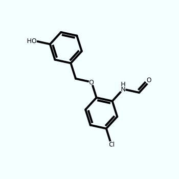 O=CNc1cc(Cl)ccc1OCc1cccc(O)c1